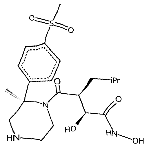 CC(C)C[C@H](C(=O)N1CCNC[C@@]1(C)c1ccc(S(C)(=O)=O)cc1)[C@H](O)C(=O)NO